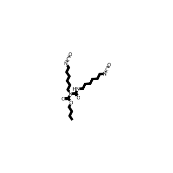 CCCCOC(=O)N(CCCCCCN=C=O)C(=O)NCCCCCCN=C=O